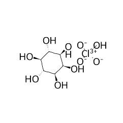 O[C@H]1[C@H](O)[C@@H](O)[C@H](O)[C@@H](O)[C@H]1O.[O-][Cl+3]([O-])([O-])O